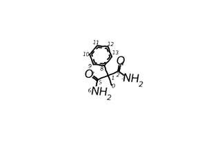 CC(C(N)=O)(C(N)=O)c1ccccc1